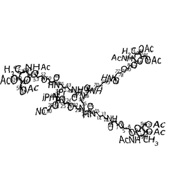 CC(=O)NC1C(OCCOCCC(=O)NCCCCNC(=O)CN(CCOCCOP(OCCC#N)N(C(C)C)C(C)C)CCN(CC(=O)NCCCCNC(=O)CCOCCOC2OC(COC(C)=O)C(OC(C)=O)C(C)C2NC(C)=O)CC(=O)NCCCCNC(=O)CCOCCOC2OC(COC(C)=O)C(OC(C)=O)C(C)C2NC(C)=O)OC(COC(C)=O)C(OC(C)=O)C1C